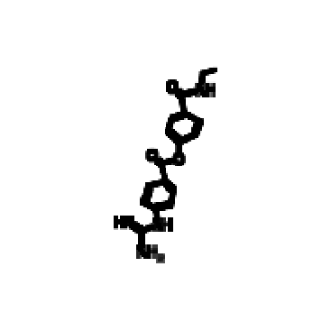 CCNC(=O)c1ccc(OC(=O)c2ccc(NC(=N)N)cc2)cc1